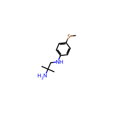 CSc1ccc(NCC(C)(C)N)cc1